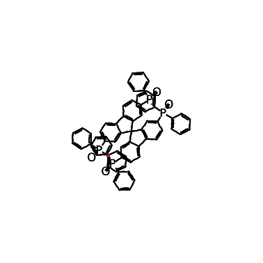 CP(=O)(c1ccccc1)c1ccc2c(c1)C1(c3cc(P(=O)(c4ccccc4)c4ccccc4)ccc3-2)c2cc(P(=O)(c3ccccc3)c3ccccc3)ccc2-c2ccc(P(=O)(c3ccccc3)c3ccccc3)cc21